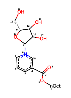 CCCCCCCCOC(=O)c1ccc[n+]([C@@H]2O[C@H](CO)C(O)C2O)c1